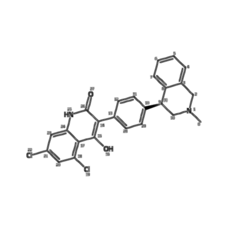 CN1Cc2ccccc2[C@H](c2ccc(-c3c(O)c4c(Cl)cc(Cl)cc4[nH]c3=O)cc2)C1